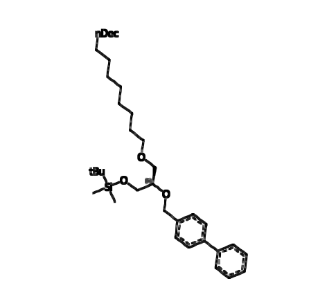 CCCCCCCCCCCCCCCCCCOC[C@H](CO[Si](C)(C)C(C)(C)C)OCc1ccc(-c2ccccc2)cc1